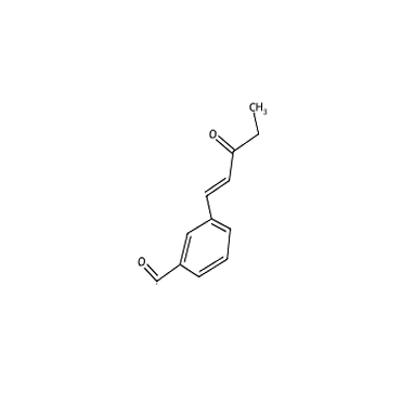 CCC(=O)C=Cc1cccc([C]=O)c1